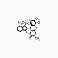 CN1CC(=O)N2C(Cc3c(n(C(C)(C)C)c4ccccc34)C2c2ccc3c(c2)OCO3)C1=O